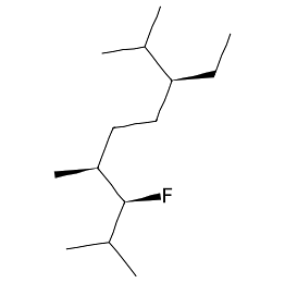 CC[C@@H](CC[C@H](C)[C@@H](F)C(C)C)C(C)C